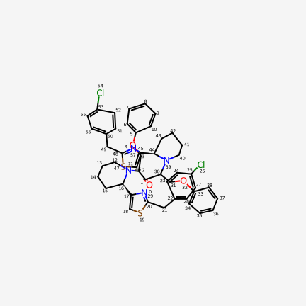 O=C(C(COc1ccccc1)N1CCCC[C@@H]1c1csc(Cc2ccc(Cl)cc2)n1)C(COc1ccccc1)N1CCCC[C@@H]1c1csc(Cc2ccc(Cl)cc2)n1